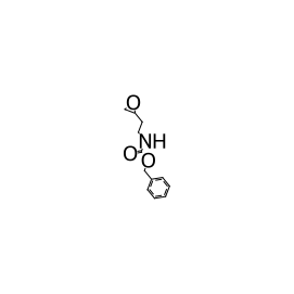 O=C(NCCC1CO1)OCc1ccccc1